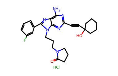 Cl.Nc1nc(C#CC2(O)CCCCC2)nc2c1nc(-c1cccc(F)c1)n2CCCN1CCCC1=O